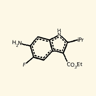 CCOC(=O)c1c(C(C)C)[nH]c2cc(N)c(F)cc12